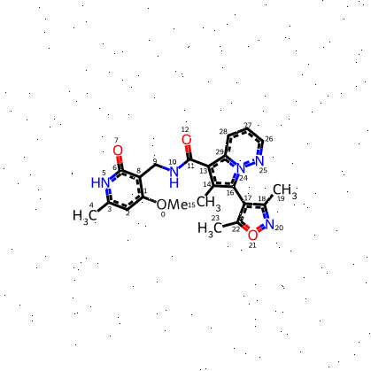 COc1cc(C)[nH]c(=O)c1CNC(=O)c1c(C)c(-c2c(C)noc2C)n2ncccc12